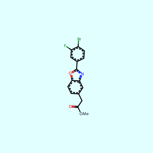 COC(=O)Cc1ccc2oc(-c3ccc(Br)c(F)c3)nc2c1